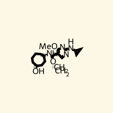 COc1nc(NC2CC2)ncc1C(=O)N[C@@H]1[CH]CCC[C@H](O)CC1.[CH2].[CH2]